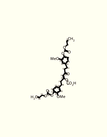 C=CCOC(=O)Oc1ccc(CCC(=O)/C=C(/CCc2ccc(OC(=O)OCC=C)c(OC)c2)OC(=O)O)cc1OC